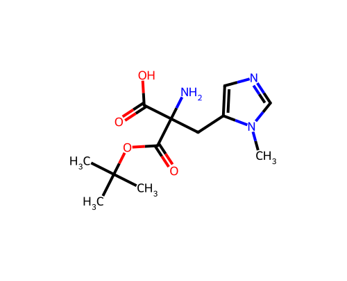 Cn1cncc1CC(N)(C(=O)O)C(=O)OC(C)(C)C